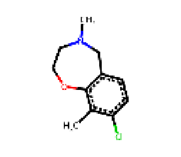 Cc1c(Cl)ccc2c1OCCN(C)C2